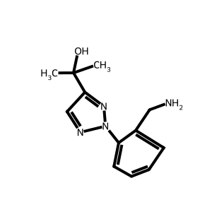 CC(C)(O)c1cnn(-c2ccccc2CN)n1